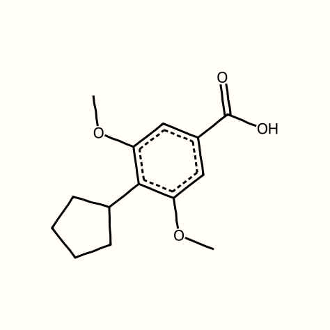 COc1cc(C(=O)O)cc(OC)c1C1CCCC1